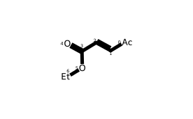 [CH2]C(=O)C=CC(=O)OCC